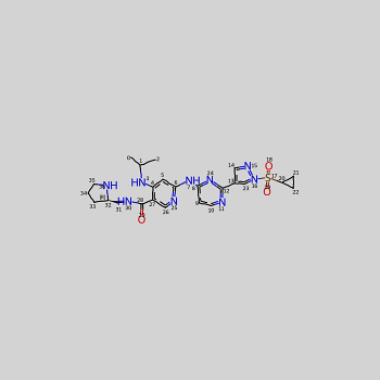 CC(C)Nc1cc(Nc2ccnc(-c3cnn(S(=O)(=O)C4CC4)c3)n2)ncc1C(=O)NC[C@H]1CCCN1